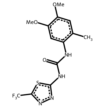 COc1cc(C)c(NC(=O)Nc2nnc(C(F)(F)F)s2)cc1OC